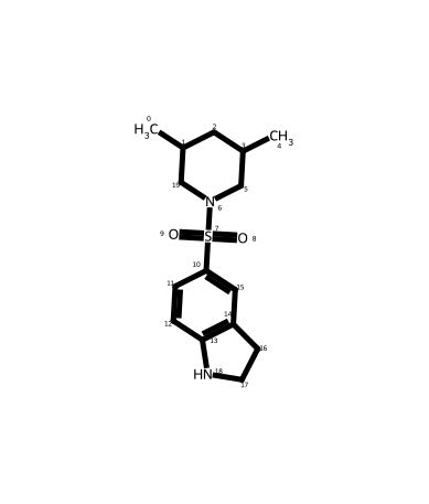 CC1CC(C)CN(S(=O)(=O)c2ccc3c(c2)CCN3)C1